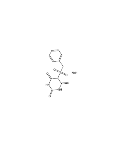 O=C1NC(=O)C(S(=O)(=O)Cc2ccccc2)C(=O)N1.[NaH]